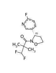 CC(C)(C(=O)N1OCC[C@H]1c1ccc(F)nc1)C(F)F